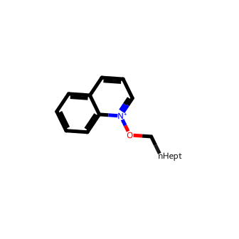 CCCCCCCCO[n+]1cccc2ccccc21